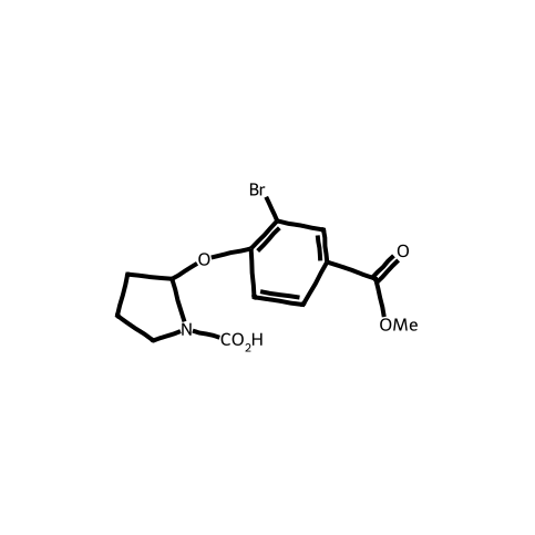 COC(=O)c1ccc(OC2CCCN2C(=O)O)c(Br)c1